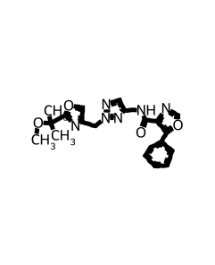 COC(C)(C)c1nc(Cn2ncc(NC(=O)c3ncoc3-c3ccccc3)n2)co1